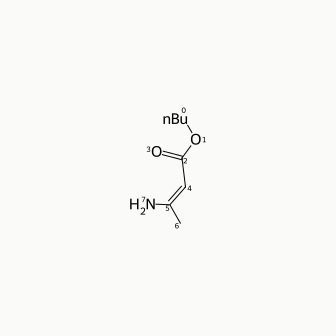 CCCCOC(=O)C=C(C)N